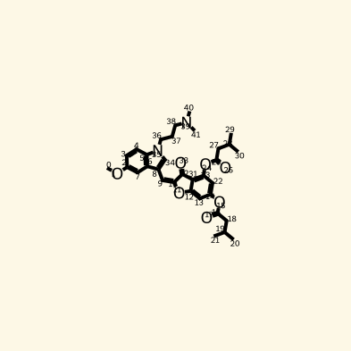 COc1ccc2c(c1)c(C=C1Oc3cc(OC(=O)CC(C)C)cc(OC(=O)CC(C)C)c3C1=O)cn2CCCN(C)C